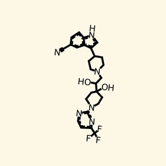 N#Cc1ccc2[nH]cc(C3CCN(CC(O)C4(O)CCN(c5nccc(C(F)(F)F)n5)CC4)CC3)c2c1